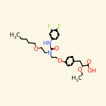 CCCCCOCCN(CCOc1ccc(CC(OCC)C(=O)O)cc1)C(=O)Nc1ccc(F)c(F)c1